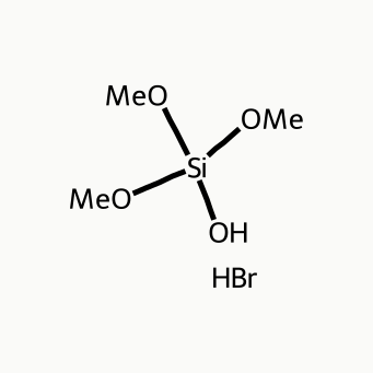 Br.CO[Si](O)(OC)OC